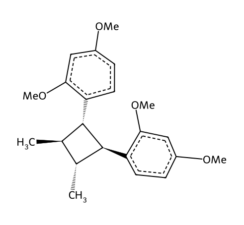 COc1ccc([C@H]2[C@H](C)[C@@H](C)[C@@H]2c2ccc(OC)cc2OC)c(OC)c1